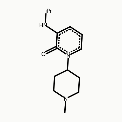 CC(C)Nc1cccn(C2CCN(C)CC2)c1=O